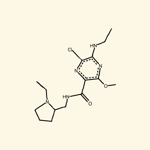 CCNc1nc(OC)c(C(=O)NCC2CCCN2CC)nc1Cl